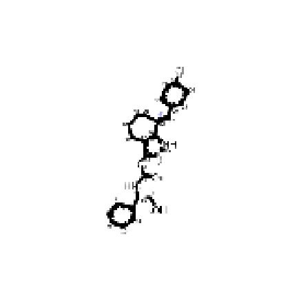 O=C(N[C@@H](CO)c1ccccc1)Oc1n[nH]c2c1CCCC/C2=C\c1ccc(Cl)cc1